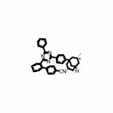 C[C@@H]1C[C@@H]2C[C@H](C)CC(c3ccc(-c4nc(-c5ccccc5)nc(-c5ccccc5-c5ccc(C#N)cc5)n4)cc3)(C1)C2